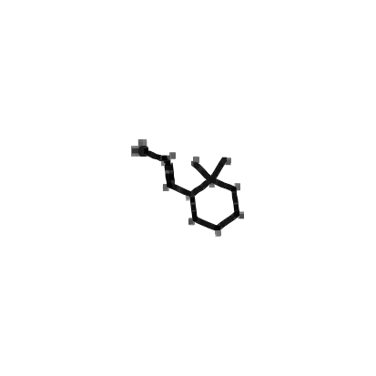 CC1(C)CCCCC1C=NO